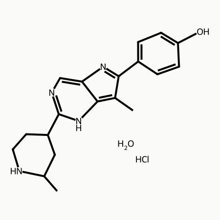 Cc1c(-c2ccc(O)cc2)nc2cnc(C3CCNC(C)C3)[nH]c1-2.Cl.O